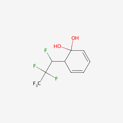 OC1(O)C=CC=CC1C(F)C(F)(F)C(F)(F)F